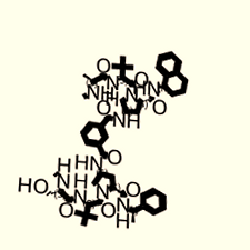 CN[C@@H](C)C(=O)N[C@H](C(=O)N1C[C@@H](NC(=O)c2cccc(C(=O)N[C@H]3C[C@@H](C(=O)N[C@H](C)c4ccccc4)N(C(=O)[C@@H](NC(=O)[C@H](CO)NC)C(C)(C)C)C3)c2)C[C@H]1C(=O)N[C@@H]1CCCc2ccccc21)C(C)(C)C